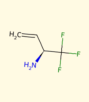 C=C[C@H](N)C(F)(F)F